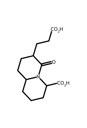 O=C(O)CCC1CCC2CCCC(C(=O)O)N2C1=O